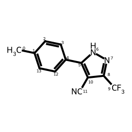 Cc1ccc(-c2[nH]nc(C(F)(F)F)c2C#N)cc1